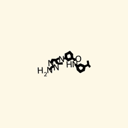 CC(C)c1cccc(NC(=O)c2cccc(N3Cc4cnc(N)nc4C3)c2)c1